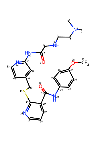 CN(C)CCNCC(=O)Nc1cc(CSc2ncccc2C(=O)Nc2ccc(OC(F)(F)F)cc2)ccn1